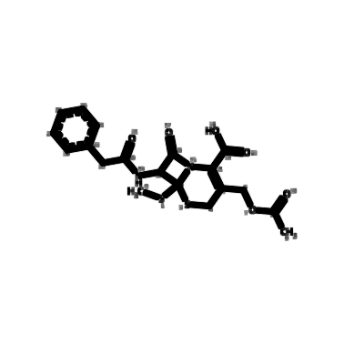 CSC12SCC(COC(C)=O)=C(C(=O)O)N1C(=O)C2NC(=O)Cc1ccccc1